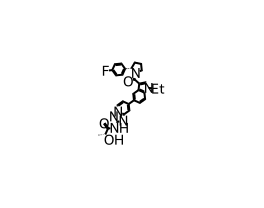 CCn1cc(C(=O)N2CCC[C@H]2c2ccc(F)cc2)c2cc(-c3ccn4nc(NC(=O)[C@@H](C)O)nc4c3)ccc21